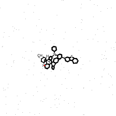 CC[C@@H]1C[C@H]2C[C@H](C)C[C@@H](C1)C21c2ccccc2C2(c3ccccc3-c3ccccc32)c2cc(N(c3ccccc3)c3ccc(-c4ccc5c(c4)sc4ccccc45)cc3)ccc21